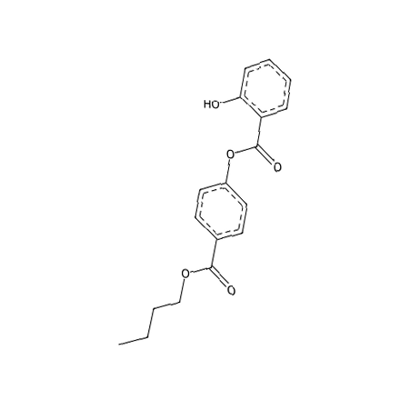 CCCCOC(=O)c1ccc(OC(=O)c2ccccc2O)cc1